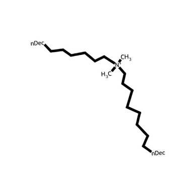 CCCCCCCCCCCCCCCCCC[N+](C)(C)CCCCCCCCCCCCCCCC